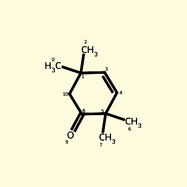 CC1(C)C=CC(C)(C)C(=O)C1